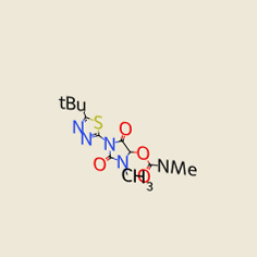 CNC(=O)OC1C(=O)N(c2nnc(C(C)(C)C)s2)C(=O)N1C